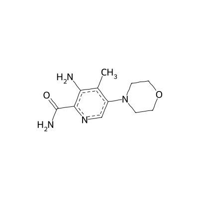 Cc1c(N2CCOCC2)cnc(C(N)=O)c1N